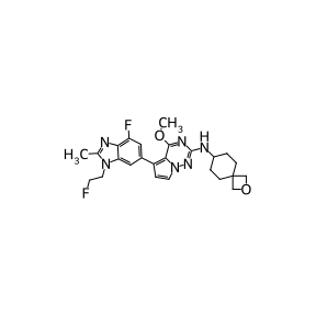 COc1nc(NC2CCC3(CC2)COC3)nn2ccc(-c3cc(F)c4nc(C)n(CCF)c4c3)c12